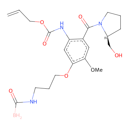 BC(=O)NCCCOc1cc(NC(=O)OCC=C)c(C(=O)N2CCC[C@H]2CO)cc1OC